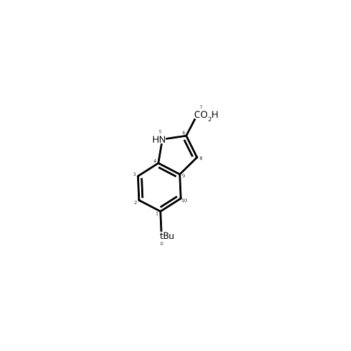 CC(C)(C)c1ccc2[nH]c(C(=O)O)cc2c1